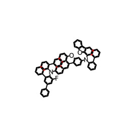 Fc1cc(-c2ccccc2)cc(-c2ccccc2)c1N(c1ccc2cc3c4c(cccc4c2c1)Oc1cc(N(c2ccccc2-c2ccccc2)c2cccc4c2oc2ccccc24)ccc1-3)c1ccccc1-c1ccccc1